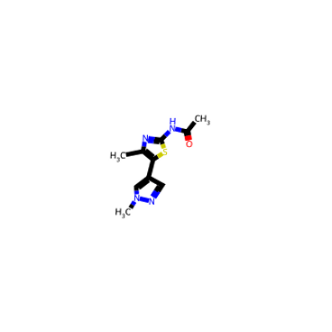 CC(=O)Nc1nc(C)c(-c2cnn(C)c2)s1